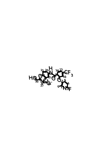 Cc1nc(F)ccc1Oc1cc(C(F)(F)F)ccc1C(=O)Nc1cccc([S@@+]([O-])N(C)C(=O)CO)c1